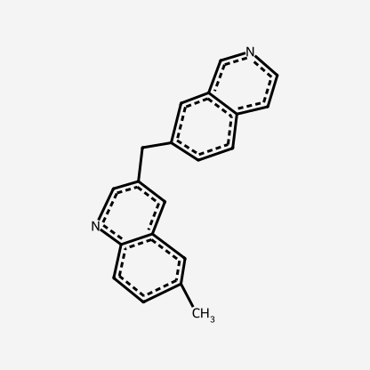 Cc1ccc2ncc(Cc3ccc4ccncc4c3)cc2c1